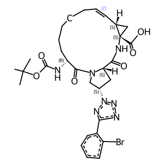 CC(C)(C)OC(=O)N[C@@H]1CCCCC/C=C\[C@@H]2C[C@]2(C(=O)O)NC(=O)[C@@H]2C[C@H](n3nnc(-c4ccccc4Br)n3)CN2C1=O